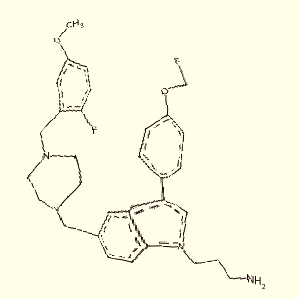 COc1ccc(F)c(CN2CCN(Cc3ccc4c(c3)c(-c3ccc(OCF)cc3)cn4CCCN)CC2)c1